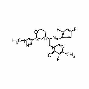 Cc1nc2c(-c3ccc(F)cc3F)nc([C@@H]3CCO[C@H](c4cnn(C)c4)C3)cn2c(=O)c1F